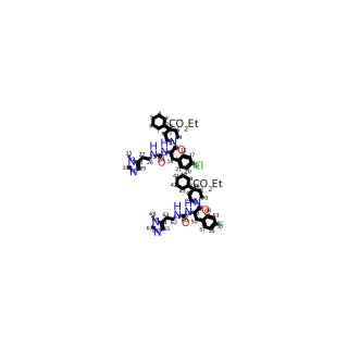 CCOC(=O)C1(C2CCCCC2)CCN(C(=O)C(Cc2ccc(Cl)cc2)NC(=O)NCCc2cncn2C)CC1.CCOC(=O)C1(C2CCCCC2)CCN(C(=O)C(Cc2ccc(F)cc2)NC(=O)NCCc2cncn2C)CC1